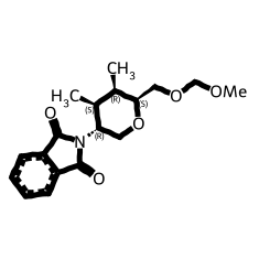 COCOC[C@H]1OC[C@H](N2C(=O)c3ccccc3C2=O)[C@@H](C)[C@H]1C